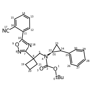 CC(C)(C)OC(=O)N(CC1(c2noc(-c3ccccc3C#N)n2)CCC1)[C@H]1CC1c1ccccc1